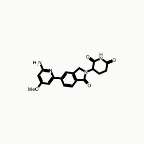 COc1cc(N)nc(-c2ccc3c(c2)CN(C2CCC(=O)NC2=O)C3=O)c1